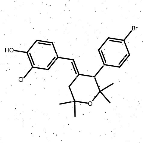 CC1(C)CC(=Cc2ccc(O)c(Cl)c2)C(c2ccc(Br)cc2)C(C)(C)O1